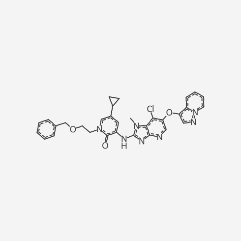 Cn1c(Nc2cc(C3CC3)cn(CCOCc3ccccc3)c2=O)nc2ncc(Oc3cnn4ccccc34)c(Cl)c21